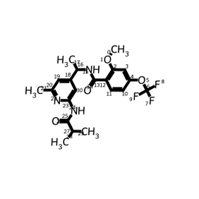 COc1cc(OC(F)(F)F)ccc1C(=O)NC(C)c1cc(C)nc(NC(=O)C(C)C)c1